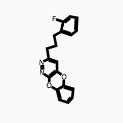 Fc1ccccc1CCCc1cc2c(nn1)Oc1ccccc1O2